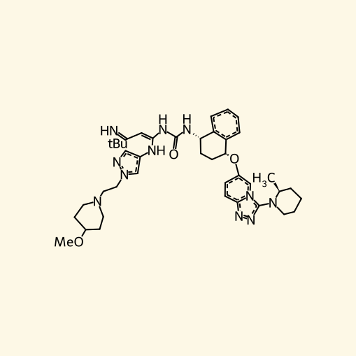 COC1CCN(CCn2cc(N/C(=C\C(=N)C(C)(C)C)NC(=O)N[C@H]3CC[C@@H](Oc4ccc5nnc(N6CCCC[C@@H]6C)n5c4)c4ccccc43)cn2)CC1